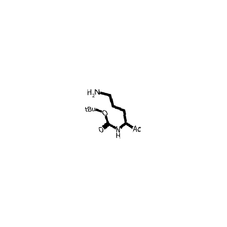 CC(=O)C(CCCN)NC(=O)OC(C)(C)C